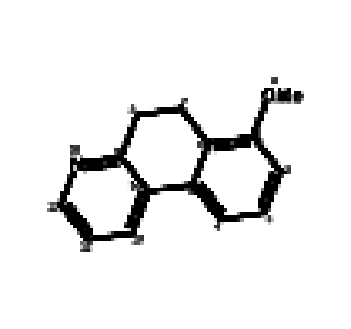 COc1cccc2c1CCc1ncccc1-2